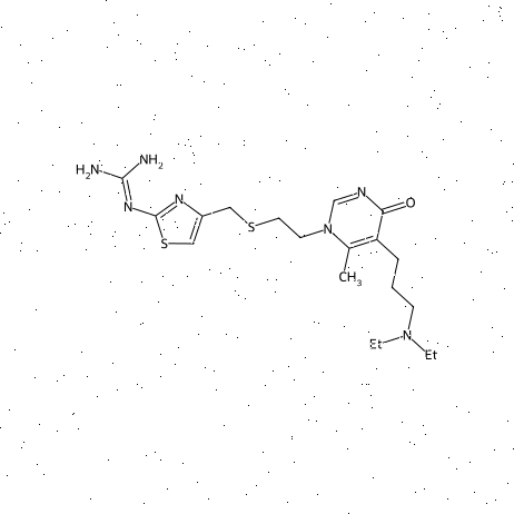 CCN(CC)CCCc1c(C)n(CCSCc2csc(N=C(N)N)n2)cnc1=O